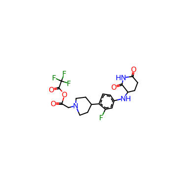 O=C1CCC(Nc2ccc(C3CCN(CC(=O)OC(=O)C(F)(F)F)CC3)c(F)c2)C(=O)N1